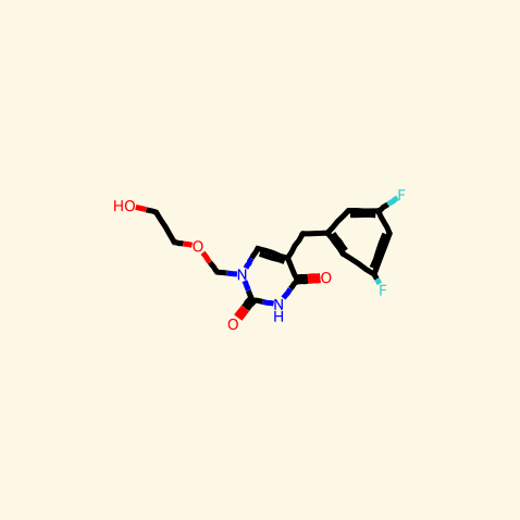 O=c1[nH]c(=O)n(COCCO)cc1Cc1cc(F)cc(F)c1